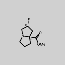 COC(=O)[C@@]12CCCN1C[C@H](F)C2